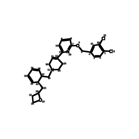 Clc1ccc(COc2cccc(C3=CCN(CC4C=CC=C[C@@H]4CC4CCO4)CC3)n2)cc1Cl